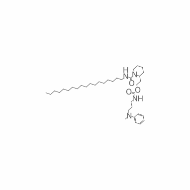 CCCCCCCCCCCCCCCCCCNC(=O)N1CCCCC1CCOC(=O)NCCCN(C)c1ccccc1